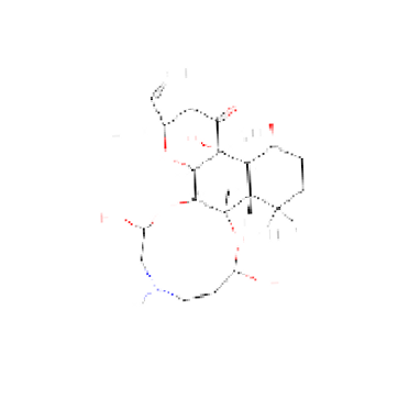 C=C[C@@]1(C)CC(=O)[C@]2(O)[C@@]3(C)[C@@H](O)CCC(C)(C)[C@@H]3[C@@H]3OC(O)CCN(C)CC(O)O[C@@H]3[C@@]2(C)O1